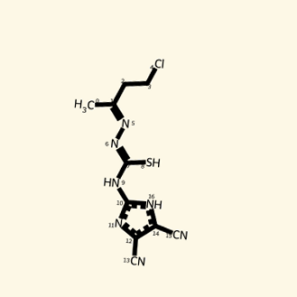 C/C(CCCl)=N\N=C(/S)Nc1nc(C#N)c(C#N)[nH]1